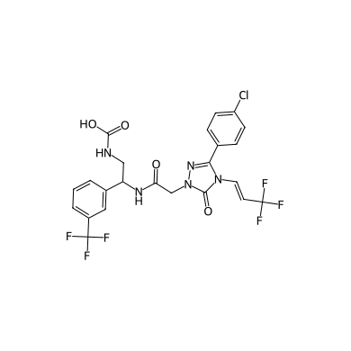 O=C(O)NCC(NC(=O)Cn1nc(-c2ccc(Cl)cc2)n(/C=C/C(F)(F)F)c1=O)c1cccc(C(F)(F)F)c1